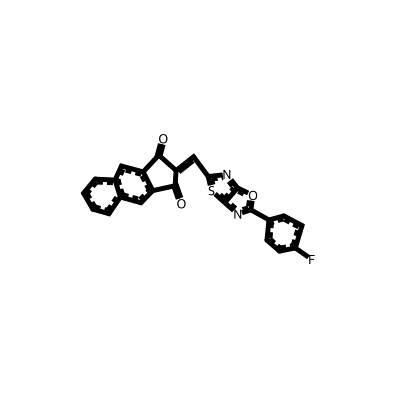 O=C1C(=Cc2nc3oc(-c4ccc(F)cc4)nc3s2)C(=O)c2cc3ccccc3cc21